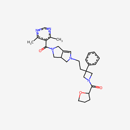 Cc1ncnc(C)c1C(=O)N1CC2=CN(CCC3(c4ccccc4)CN(C(=O)C4CCCO4)C3)CC2C1